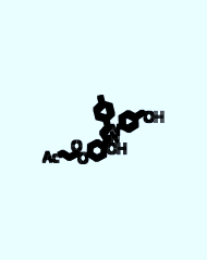 CC(=O)CCC(=O)OC1CCC(O)(c2cc(-c3ccc(C)cc3)n(-c3ccc(CO)cc3)n2)CC1